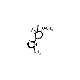 CO[C@@H]1CCN(c2nccc(N)n2)C[C@]1(C)F